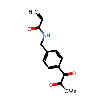 C=CC(=O)NCc1ccc(C(=O)C(=O)OC)cc1